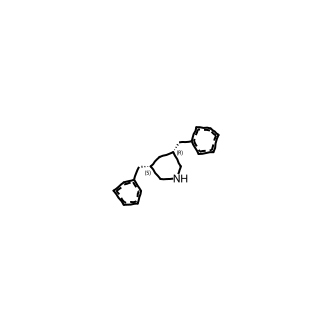 c1ccc(C[C@H]2CNC[C@@H](Cc3ccccc3)C2)cc1